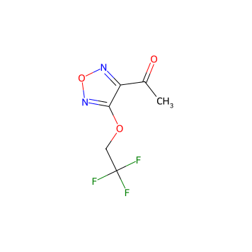 CC(=O)c1nonc1OCC(F)(F)F